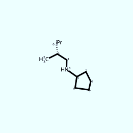 CC(C)[C@@H](C)CNC1CCCC1